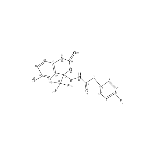 O=C(Cc1ccc(F)cc1)NCC1(C(F)(F)F)OC(=O)Nc2ccc(Cl)cc21